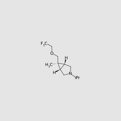 CC(C)N1C[C@@H]2[C@H](C1)[C@@]2(C)COCC(F)(F)F